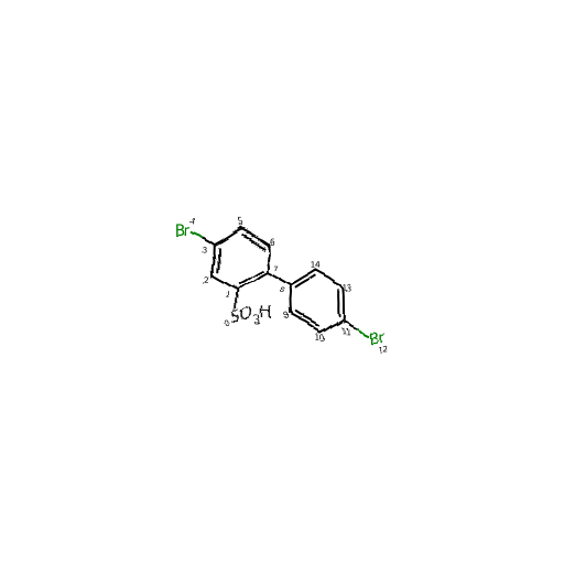 O=S(=O)(O)c1cc(Br)ccc1-c1ccc(Br)cc1